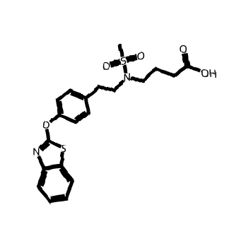 CS(=O)(=O)N(CCCC(=O)O)CCc1ccc(Oc2nc3ccccc3s2)cc1